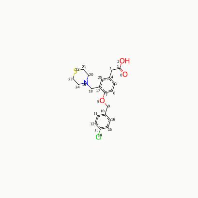 O=C(O)Cc1ccc(OCc2ccc(Cl)cc2)c(CN2CCSCC2)c1